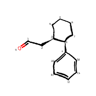 O=CC[C@H]1CCCC[C@H]1c1ccccc1